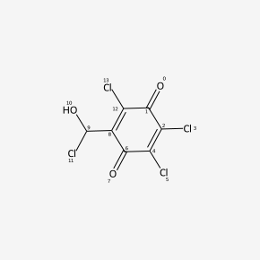 O=C1C(Cl)=C(Cl)C(=O)C(C(O)Cl)=C1Cl